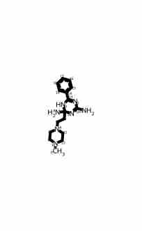 CN1CCN(CCC2(N)N=C(N)N=C(c3ccccc3)N2)CC1